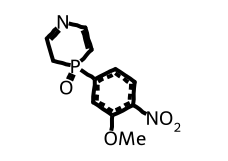 COc1cc(P2(=O)C=CN=CC2)ccc1[N+](=O)[O-]